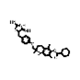 Cc1cc2c(c(C)c1OC(=O)C1CCCCC1)CCC(C)(COc1ccc(CC3SC(=N)NC3=N)cc1)O2